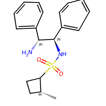 C[C@@H]1CCC1S(=O)(=O)N[C@H](c1ccccc1)[C@H](N)c1ccccc1